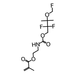 C=C(C)C(=O)OCCNC(=O)OCC(F)(F)C(C)(C)OCF